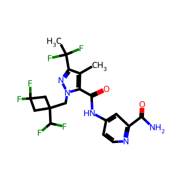 Cc1c(C(C)(F)F)nn(CC2(C(F)F)CC(F)(F)C2)c1C(=O)Nc1ccnc(C(N)=O)c1